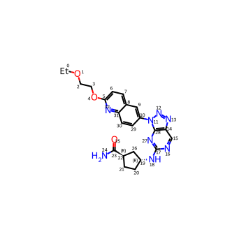 CCOCCOc1ccc2cc(-n3nnc4cnc(N[C@@H]5CC[C@@H](C(N)=O)C5)nc43)ccc2n1